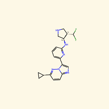 FC(F)[C@H]1CNC[C@@H]1Nc1cccc(-c2cnc3ccc(C4CC4)nn23)n1